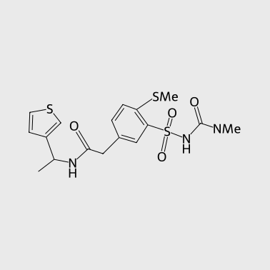 CNC(=O)NS(=O)(=O)c1cc(CC(=O)NC(C)c2ccsc2)ccc1SC